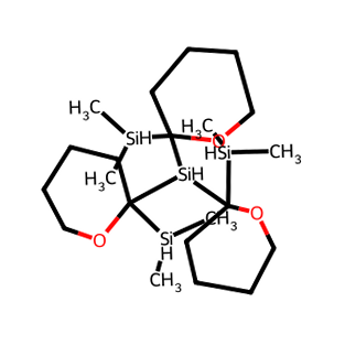 C[SiH](C)C1([SiH](C2([SiH](C)C)CCCCO2)C2([SiH](C)C)CCCCO2)CCCCO1